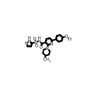 CCOc1ccc(-c2ccc(C(=O)NS(=O)(=O)c3ccn[nH]3)c(N3CCC(C)CC3)n2)cc1